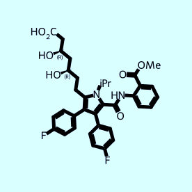 COC(=O)c1ccccc1NC(=O)c1c(-c2ccc(F)cc2)c(-c2ccc(F)cc2)c(CC[C@@H](O)C[C@@H](O)CC(=O)O)n1C(C)C